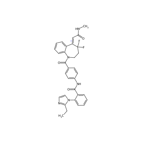 CCc1nccn1-c1ccccc1C(=O)Nc1ccc(C(=O)N2CCC(F)(F)/C(=C\C(=O)NC)c3ccccc32)cc1